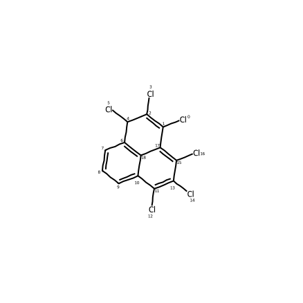 ClC1=C(Cl)C(Cl)c2cccc3c(Cl)c(Cl)c(Cl)c1c23